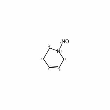 O=NN1CC=CCC1